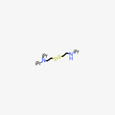 CC(C)NCCSSCCN(C(C)C)C(C)C